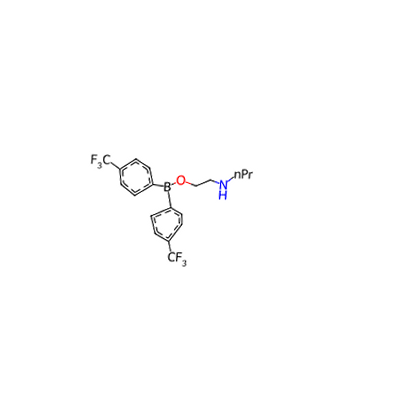 CCCNCCOB(c1ccc(C(F)(F)F)cc1)c1ccc(C(F)(F)F)cc1